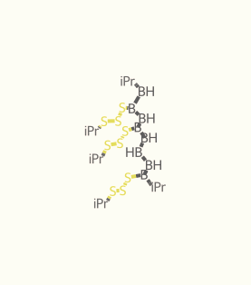 CC(C)BB(BB(BBBB(SSSC(C)C)C(C)C)SSSC(C)C)SSSC(C)C